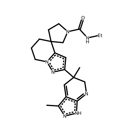 CCNC(=O)N1CCC2(CCCn3nc(C4(C)C=c5c(C)n[nH]c5=NC4)cc32)C1